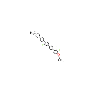 C=CCOc1ccc(-c2ccc(-c3ccc(C4=CCC(C5CCC(C)CC5)CC4)c(F)c3)cc2)c(F)c1F